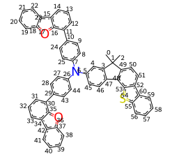 CC1(C)c2cc(N(c3ccc(-c4cccc5c4oc4ccccc45)cc3)c3ccc(-c4cccc5c4oc4ccccc45)cc3)ccc2-c2c1ccc1c2sc2ccccc21